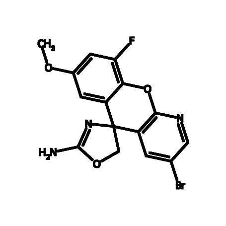 COc1cc(F)c2c(c1)C1(COC(N)=N1)c1cc(Br)cnc1O2